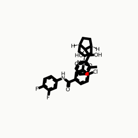 Cc1cccnc1C(O)[C@@]1(O)[C@@H]2CC[C@H]1C[C@H](S(=O)(=O)c1cc(C(=O)Nc3ccc(F)c(F)c3)ccc1Cl)C2